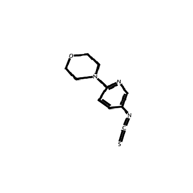 S=C=Nc1ccc(N2CCOCC2)nc1